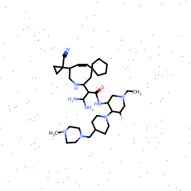 CCN1CC(F)C(N2CCC(CN3CCN(C)CC3)CC2)C(NC(=O)C(C(N)N)C2CC3(/C=C\C(C4(C#N)CC4)CN2)CCCCC3)C1